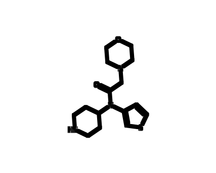 O=C(CN1CCOCC1)N(c1ccsc1)C1CCNCC1